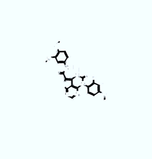 COc1ccc(N2C(=O)Nc3c(C(=O)Nc4ccc(OC)c(OC)c4)sc4ncnc2c34)c(F)c1